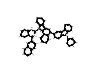 c1ccc(-n2c3ccccc3c3cc(-c4cc5c6ccccc6n(-c6nc(-c7ccc8ccccc8c7)c7ccccc7n6)c5c5ccccc45)ccc32)cc1